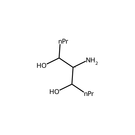 CCCC(O)[C](N)C(O)CCC